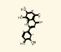 O=c1cc(-c2ccc(O)c(O)c2)oc2c(O)c(O)cc(Cl)c12